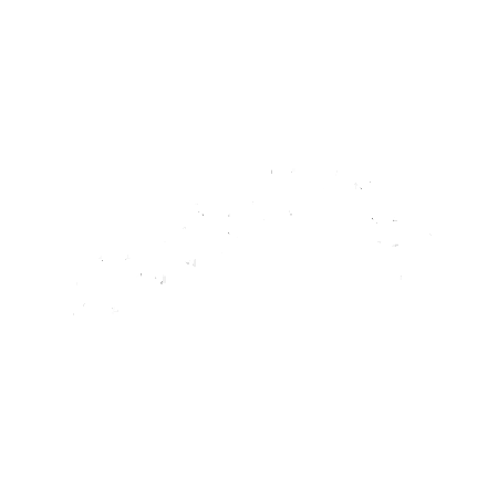 O=C(Nc1cnc(Oc2ccc(-c3cnc(N4CC(F)(F)C4)s3)cc2)nc1)Nc1cccc(C(F)(F)F)c1